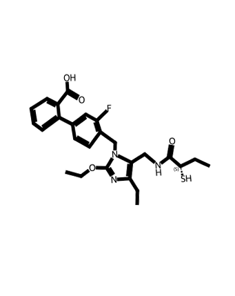 CCOc1nc(CC)c(CNC(=O)[C@@H](S)CC)n1Cc1ccc(-c2ccccc2C(=O)O)cc1F